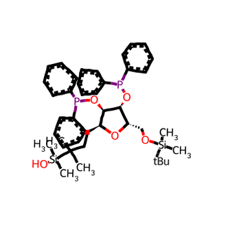 CC(C)(CC[C@@H]1O[C@@H](CO[Si](C)(C)C(C)(C)C)[C@@H](OP(c2ccccc2)c2ccccc2)[C@@H]1OP(c1ccccc1)c1ccccc1)[Si](C)(C)O